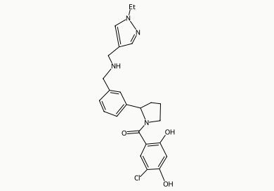 CCn1cc(CNCc2cccc(C3CCCN3C(=O)c3cc(Cl)c(O)cc3O)c2)cn1